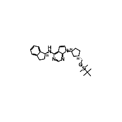 CC(C)(C)[Si](C)(C)OC[C@H]1CC[C@H](n2ccc3c(N[C@H]4CCc5ccccc54)ncnc32)C1